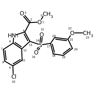 COC(=O)c1[nH]c2ccc(Cl)cc2c1S(=O)(=O)c1cccc(OC)c1